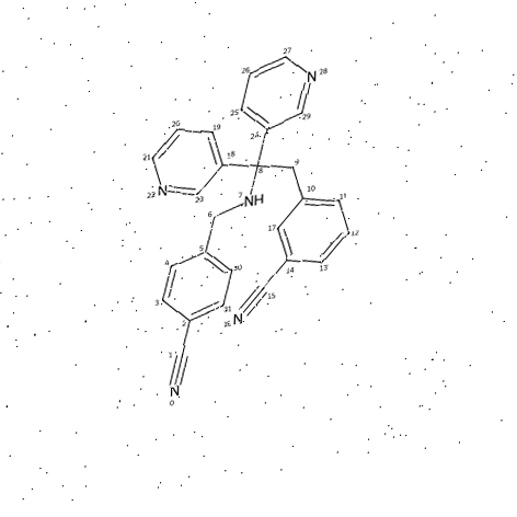 N#Cc1ccc(CNC(Cc2cccc(C#N)c2)(c2cccnc2)c2cccnc2)cc1